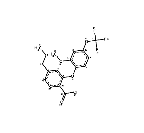 CCCc1cc(Oc2ccc(OC(F)(F)F)cc2OC)c(C(=O)Cl)cn1